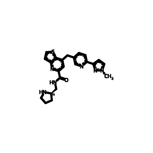 Cn1ccc(-c2ccc(Cc3cc(C(=O)NC[C@H]4CCCN4)nc4ccsc34)cn2)n1